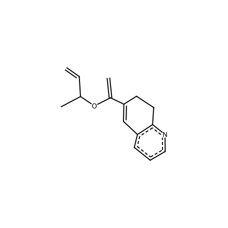 C=CC(C)OC(=C)C1=Cc2cccnc2CC1